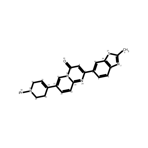 Cc1nc2ccc(-c3cc(=O)n4cc(C5=CCN(C(C)C)CC5)ccc4n3)cc2s1